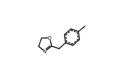 Cc1ccc(CC2=NCCO2)cc1